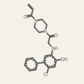 C=CC(=O)N1CCN(C(=O)CNc2cc(-c3ccccc3)c(Cl)cc2O)CC1